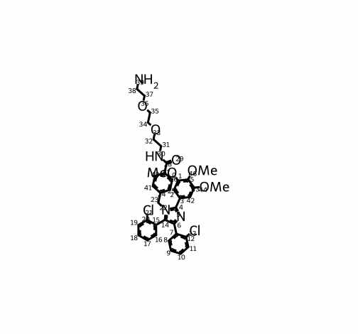 COc1cc(-c2nc(-c3ccccc3Cl)c(-c3ccccc3Cl)n2Cc2ccc(C(=O)NCCOCCOCCN)cc2)cc(OC)c1OC